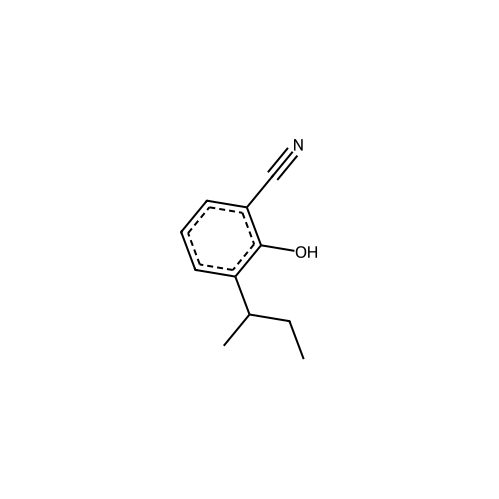 CCC(C)c1cccc(C#N)c1O